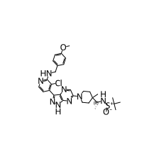 COc1ccc(CNc2nccc(-c3n[nH]c4nc(N5CCC(C)([C@@H](C)N[S+]([O-])C(C)(C)C)CC5)cnc34)c2Cl)cc1